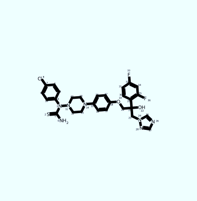 NC(=S)N(c1ccc(Cl)cc1)N1CCN(c2ccc(OCC(O)(Cn3cncn3)c3ccc(F)cc3F)cc2)CC1